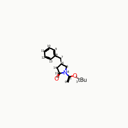 C=C(OC(C)(C)C)N1C[C@H](Cc2ccccc2)CC1=O